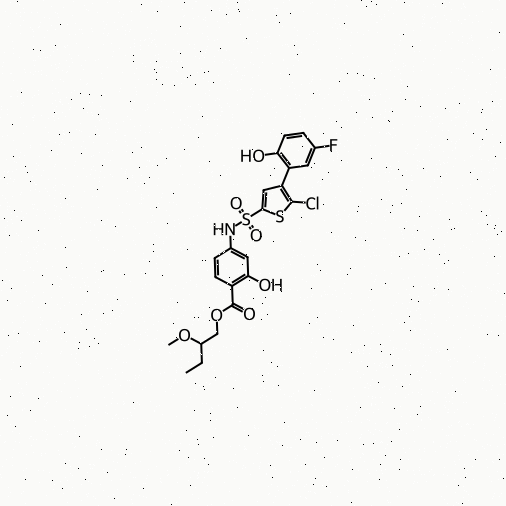 CCC(COC(=O)c1ccc(NS(=O)(=O)c2cc(-c3cc(F)ccc3O)c(Cl)s2)cc1O)OC